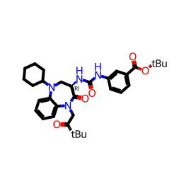 CC(C)(C)OC(=O)c1cccc(NC(=O)N[C@@H]2CN(C3CCCCC3)c3ccccc3N(CC(=O)C(C)(C)C)C2=O)c1